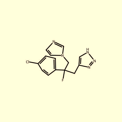 FC(Cc1c[nH]nn1)(Cn1ccnc1)c1ccc(Cl)cc1